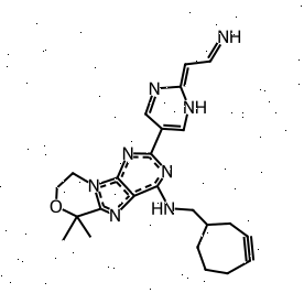 CC1(C)OCCn2c1nc1c(NCC3CC#CCCC3)nc(C3=CN/C(=C\C=N)N=C3)nc12